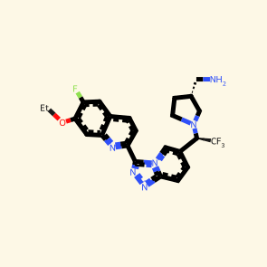 CCOc1cc2nc(-c3nnc4ccc([C@@H](N5CC[C@H](CN)C5)C(F)(F)F)cn34)ccc2cc1F